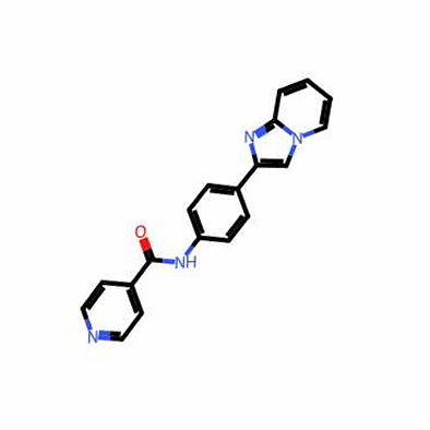 O=C(Nc1ccc(-c2cn3ccccc3n2)cc1)c1ccncc1